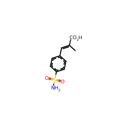 CC(=Cc1ccc(S(N)(=O)=O)cc1)C(=O)O